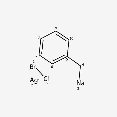 ClBr.[Ag].[Na][CH2]c1ccccc1